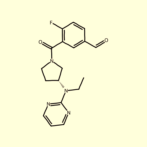 CCN(c1ncccn1)[C@@H]1CCN(C(=O)c2cc(C=O)ccc2F)C1